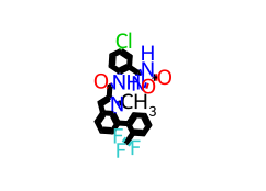 Cn1c(C(=O)Nc2ccc(Cl)cc2-c2noc(=O)[nH]2)cc2cccc(-c3ccccc3C(F)(F)F)c21